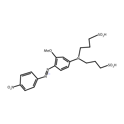 COc1cc(N(CCCS(=O)(=O)O)CCCS(=O)(=O)O)ccc1/N=N/c1ccc([N+](=O)[O-])cc1